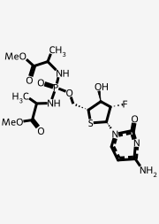 COC(=O)C(C)NP(=O)(NC(C)C(=O)OC)OC[C@H]1S[C@@H](n2ccc(N)nc2=O)[C@@H](F)[C@@H]1O